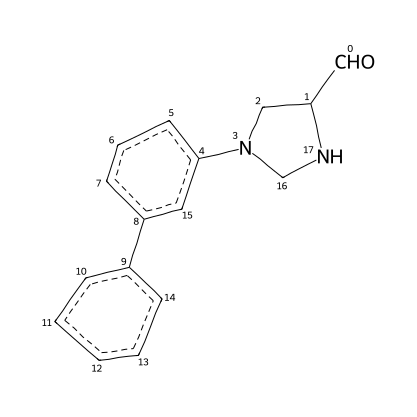 O=CC1CN(c2cccc(-c3ccccc3)c2)CN1